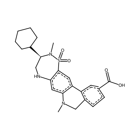 CN1Cc2ccc(C(=O)O)cc2-c2cc3c(cc21)NC[C@@H](C1CCCCC1)N(C)S3(=O)=O